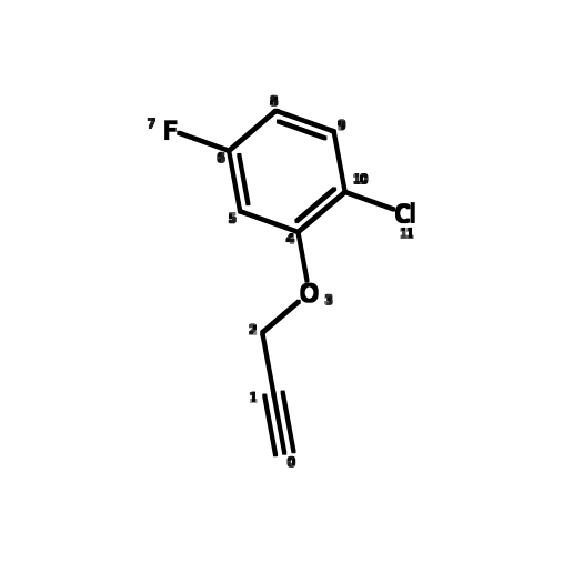 C#CCOc1cc(F)ccc1Cl